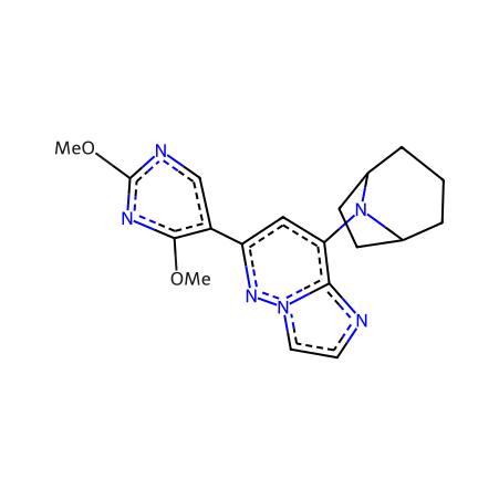 COc1ncc(-c2cc(N3C4CCCC3CC4)c3nccn3n2)c(OC)n1